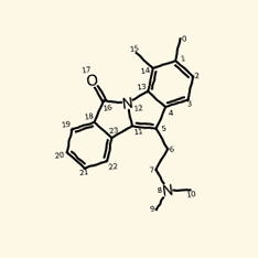 Cc1ccc2c(CCN(C)C)c3n(c2c1C)C(=O)c1ccccc1-3